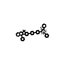 CC1(C)C2=CC3C=CCCC3C(c3ccccc3)=C2c2ccc(-c3ccc(-c4ccc(-c5nc(-c6ccccc6)nc6c7c(sc56)C=CCC7)cc4)cc3)cc21